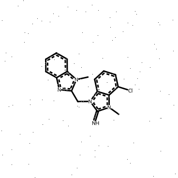 Cn1c(Cn2c(=N)n(C)c3c(Cl)cccc32)nc2ccccc21